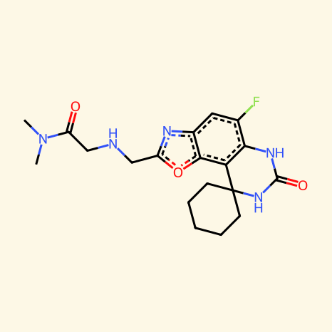 CN(C)C(=O)CNCc1nc2cc(F)c3c(c2o1)C1(CCCCC1)NC(=O)N3